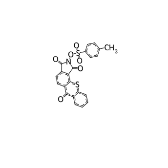 Cc1ccc(S(=O)(=O)ON2C(=O)c3ccc4c(=O)c5ccccc5sc4c3C2=O)cc1